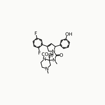 CCC1(N(C)C(=O)N2CC(c3cc(F)ccc3F)=CC2c2cccc(O)c2)CN(C)CCN1C(=O)O